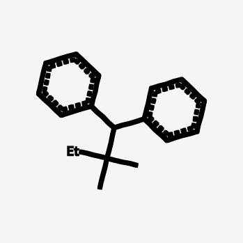 CCC(C)(C)C(c1ccccc1)c1ccccc1